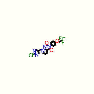 O=c1nc2n(Cc3cnc(Cl)nc3)cccc-2c(=O)n1-c1ccc(OCC(F)(F)F)cc1